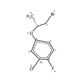 C[C@H](CBr)Oc1ccc(F)c(Cl)c1